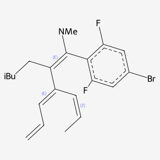 C=C/C=C(\C=C/C)C(/CC(C)CC)=C(/NC)c1c(F)cc(Br)cc1F